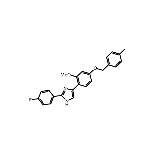 COc1cc(OCc2ccc(C)cc2)ccc1-c1c[nH]c(-c2ccc(F)cc2)n1